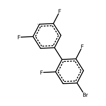 Fc1[c]c(F)cc(-c2c(F)cc(Br)cc2F)c1